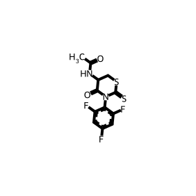 CC(=O)NC1CSC(=S)N(c2c(F)cc(F)cc2F)C1=O